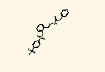 O=C(Cc1ccncc1)NN=Cc1ccccc1OS(=O)(=O)c1ccc(C(F)(F)F)cc1